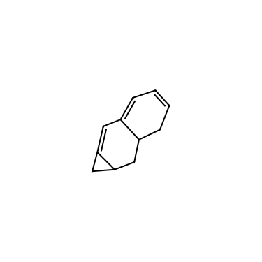 C1=CCC2CC3CC3=CC2=C1